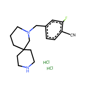 Cl.Cl.N#Cc1ccc(CN2CCCC3(CCNCC3)C2)cc1F